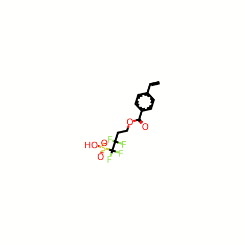 C=Cc1ccc(C(=O)OCCC(F)(F)C(F)(F)S(=O)(=O)O)cc1